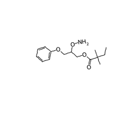 CCC(C)(C)C(=O)OCC(COc1ccccc1)ON